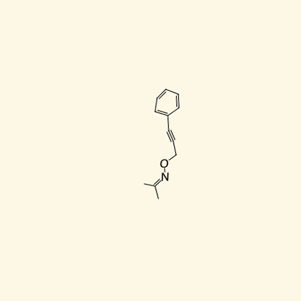 CC(C)=NOCC#Cc1ccccc1